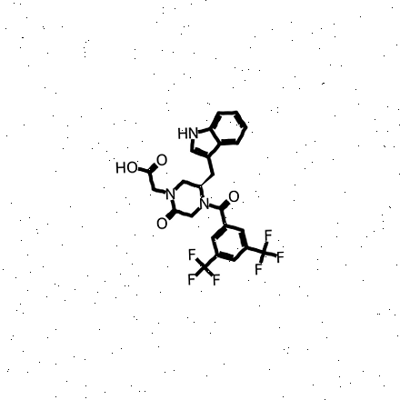 O=C(O)CN1C[C@@H](Cc2c[nH]c3ccccc23)N(C(=O)c2cc(C(F)(F)F)cc(C(F)(F)F)c2)CC1=O